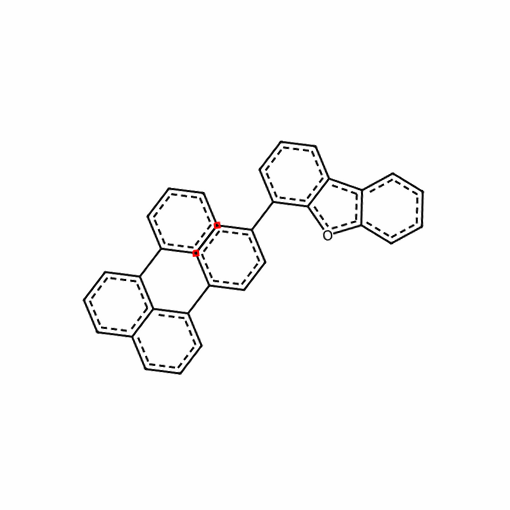 c1ccc(-c2cccc3cccc(-c4ccc(-c5cccc6c5oc5ccccc56)cc4)c23)cc1